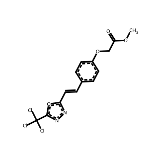 COC(=O)COc1ccc(/C=C/c2nnc(C(Cl)(Cl)Cl)o2)cc1